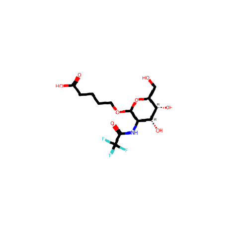 O=C(O)CCCCOC1OC(CO)[C@H](O)[C@H](O)C1NC(=O)C(F)(F)F